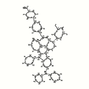 Cc1cc(C)cc(-c2ccc3c4c2cc(-c2ccc(-c5ccc(C(C)(C)C)cc5)cc2)c2cccc(c24)c2c3c3ccc(N(c4ccccc4)c4ccccc4)cc3n2-c2ccccc2)c1